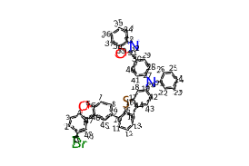 Brc1ccc2oc3ccc(-c4cccc5c4sc4cc(N(c6ccccc6)c6ccc(-c7nc8ccccc8o7)cc6)ccc45)cc3c2c1